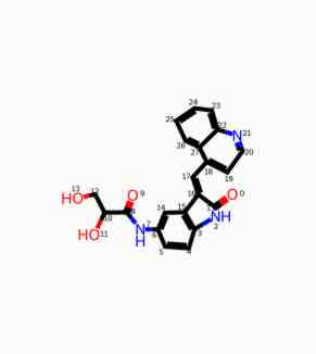 O=C1Nc2ccc(NC(=O)C(O)CO)cc2C1=Cc1ccnc2ccccc12